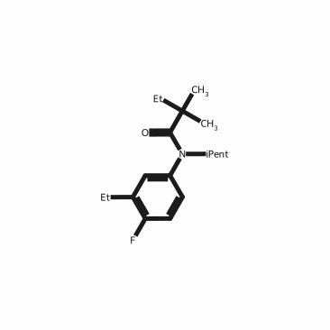 CCCC(C)N(C(=O)C(C)(C)CC)c1ccc(F)c(CC)c1